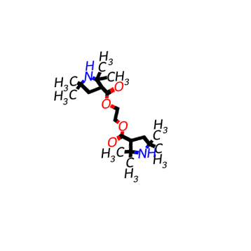 CC1(C)CC(C(=O)OCCOC(=O)C2CC(C)(C)NC2(C)C)C(C)(C)N1